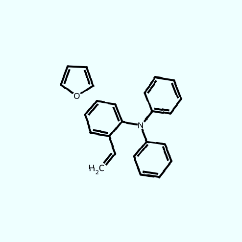 C=Cc1ccccc1N(c1ccccc1)c1ccccc1.c1ccoc1